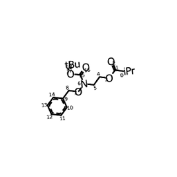 CC(C)C(=O)OCCN(OCc1ccccc1)C(=O)OC(C)(C)C